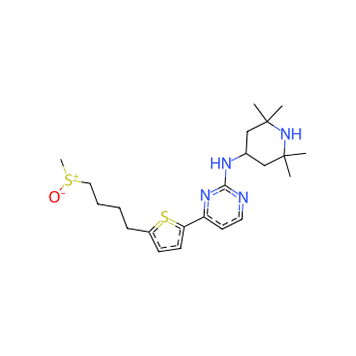 C[S+]([O-])CCCCc1ccc(-c2ccnc(NC3CC(C)(C)NC(C)(C)C3)n2)s1